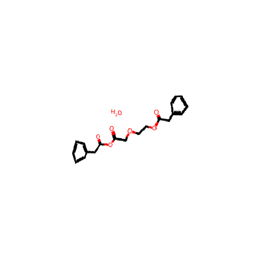 O.O=C(Cc1ccccc1)OCCOCC(=O)OC(=O)Cc1ccccc1